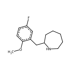 COc1ccc(F)cc1CC1CCCCCN1